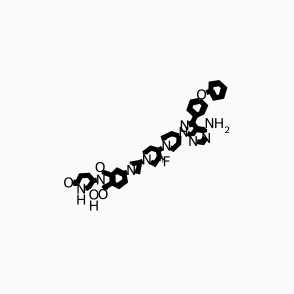 Nc1ncnc2c1c(-c1ccc(Oc3ccccc3)cc1)nn2C1CCN(C2CCN(C3CN(c4ccc5c(c4)C(=O)N(C4CCC(=O)NC4O)C5=O)C3)C[C@H]2F)CC1